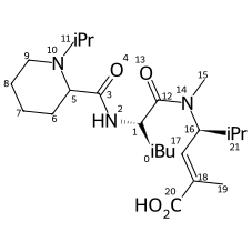 CC[C@H](C)[C@H](NC(=O)C1CCCCN1C(C)C)C(=O)N(C)[C@H](/C=C(\C)C(=O)O)C(C)C